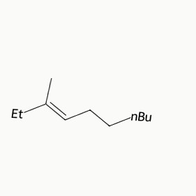 CCCCCCC=C(C)CC